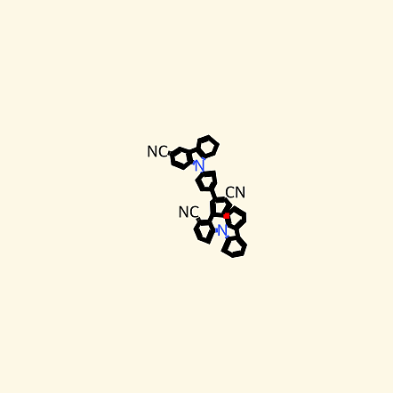 N#Cc1ccc2c(c1)c1c(n2-c2ccc(-c3cc(-c4c(C#N)cccc4-n4c5ccccc5c5ccccc54)ccc3C#N)cc2)CCC=C1